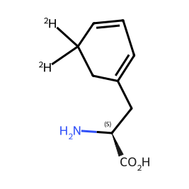 [2H]C1([2H])C=CC=C(C[C@H](N)C(=O)O)C1